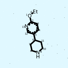 CCOc1ccc(C2CCNCC2)cn1